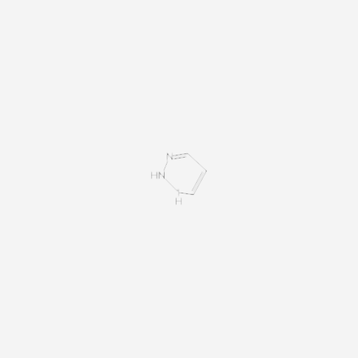 C1=C[IH]NN=C1